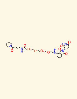 O=C(COCCOCCOCCOCCNc1cccc2c1C(=O)N(C1CCC(=O)NC1=O)C2=O)NCCCC(=O)N1CCCCC1